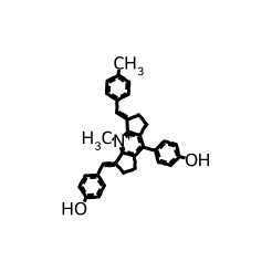 Cc1ccc(/C=C2\CCc3c(-c4ccc(O)cc4)c4c([n+](C)c32)/C(=C/c2ccc(O)cc2)CC4)cc1